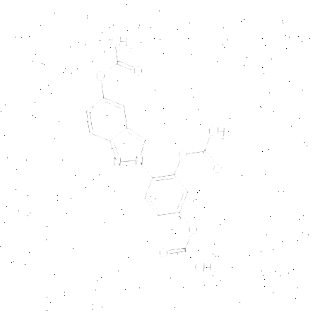 CC(=O)Oc1ccc(-n2cc3cc(OC(C)=O)ccc3n2)c(OC(C)=O)c1